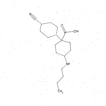 CCCCNC1CCC(C(=O)O)(C2CCC(C#N)CC2)CC1